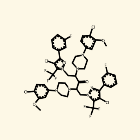 COc1cc(N2CCN(C(Cn3nc(-c4cccc(F)c4)c(Cl)c3C(F)(F)F)C(=O)C(Cn3nc(-c4cccc(F)c4)c(Cl)c3C(F)(F)F)N3CCN(c4ccc(Cl)c(OC)c4)CC3)CC2)ccc1Cl